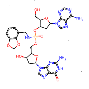 Nc1nc2c(ncn2[C@H]2C[C@@H](O)[C@@H](COP(=O)(NCc3cccc4c3OCO4)O[C@@H]3C[C@H](n4cnc5c(N)ncnc54)O[C@@H]3CO)O2)c(=O)[nH]1